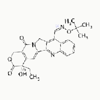 CC[C@@]1(O)C(=O)OCc2c1cc1n(c2=O)Cc2c-1nc1ccccc1c2/C=N\OC(C)(C)C